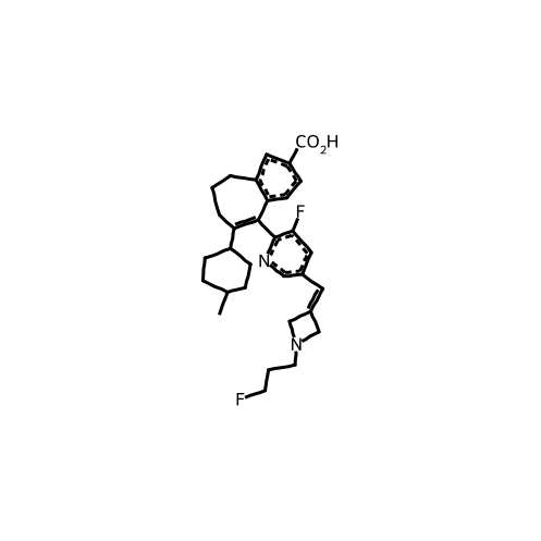 CC1CCC(C2=C(c3ncc(C=C4CN(CCCF)C4)cc3F)c3ccc(C(=O)O)cc3CCC2)CC1